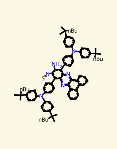 CCCCC(C)(C)c1ccc(N(c2ccc(-c3c(N)c(N=S)c(-c4ccc(N(c5ccc(C(C)(C)CCCC)cc5)c5ccc(C(C)(C)CCCC)cc5)cc4)c4nc5c6ccccc6c6ccccc6c5nc34)cc2)c2ccc(C(C)(C)CCCC)cc2)cc1